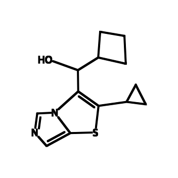 OC(c1c(C2CC2)sc2cncn12)C1CCC1